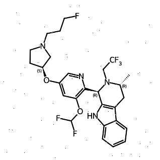 C[C@@H]1Cc2c([nH]c3ccccc23)[C@@H](c2ncc(O[C@H]3CCN(CCCF)C3)cc2OC(F)F)N1CC(F)(F)F